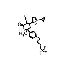 C[C@@]1(c2ccc(OCCCC(F)(F)F)cc2)CC(c2ccc(C3CC3)s2)=C(C#N)C(=O)N1